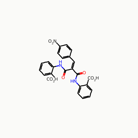 O=C(Nc1ccccc1C(=O)O)C(=Cc1ccc([N+](=O)[O-])cc1)C(=O)Nc1ccccc1C(=O)O